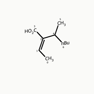 CC=C(C(=O)O)C(C)CCCC